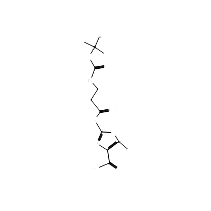 Cc1sc(NC(=O)CCNC(=O)OC(C)(C)C)nc1C(=O)O